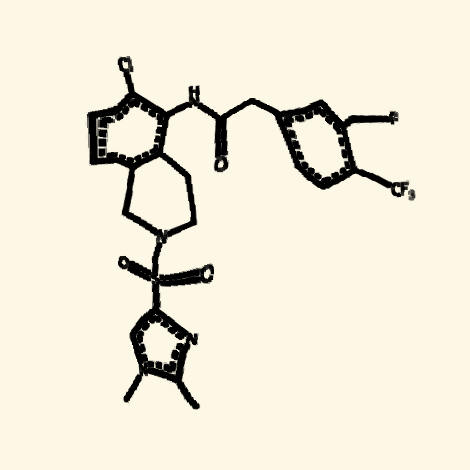 Cc1nc(S(=O)(=O)N2CCc3c(ccc(Cl)c3NC(=O)Cc3ccc(C(F)(F)F)c(F)c3)C2)cn1C